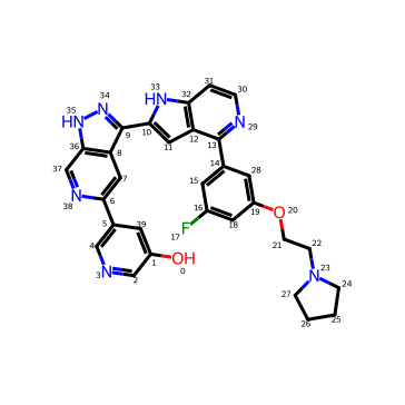 Oc1cncc(-c2cc3c(-c4cc5c(-c6cc(F)cc(OCCN7CCCC7)c6)nccc5[nH]4)n[nH]c3cn2)c1